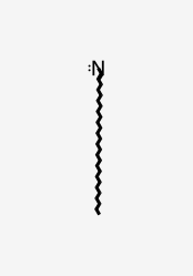 CCCCCCCCCCCCCCCCCCCCCCCCC/C=C/[N]